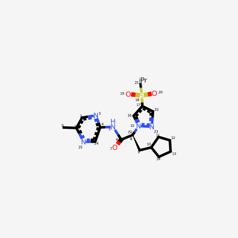 Cc1cnc(NC(=O)[C@H](CC2CCCC2)n2cc(S(=O)(=O)C(C)C)cn2)cn1